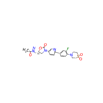 CC(=O)NC[C@H]1CN(c2ccc(-c3ccc(N4CCS(=O)(=O)CC4)c(F)c3)nc2)C(=O)O1